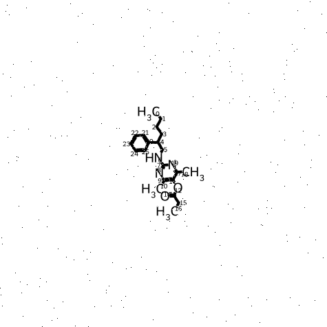 CCCCC(CNc1nc(C)c(OC(=O)CC)c(C)n1)c1ccccc1